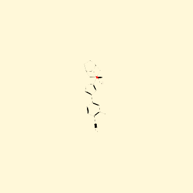 N#Cc1ccc(-c2csc(C(=O)N3C4CCC3CC(N)C4)c2)cc1F